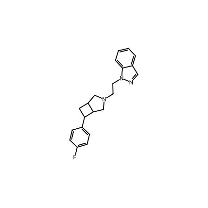 Fc1ccc(C2CC3CN(CCn4ncc5ccccc54)CC32)cc1